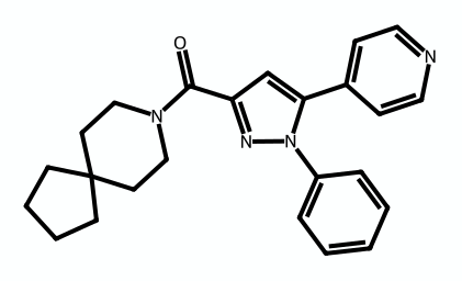 O=C(c1cc(-c2ccncc2)n(-c2ccccc2)n1)N1CCC2(CCCC2)CC1